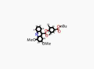 CCCCOC(=O)c1cc(C)c(OC(=O)c2c3ccccc3nc3c(OC)cc(OC)cc23)c(C)c1